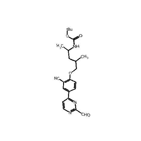 CC(COc1ccc(-c2ccnc(C=O)n2)cc1C#N)CC(C)NC(=O)OC(C)(C)C